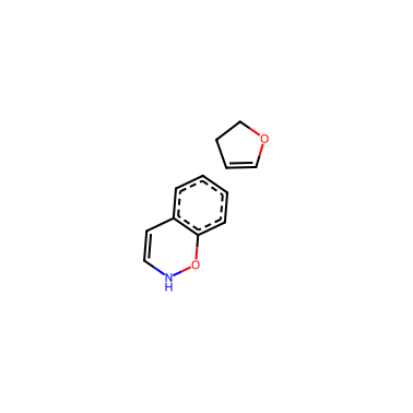 C1=COCC1.C1=Cc2ccccc2ON1